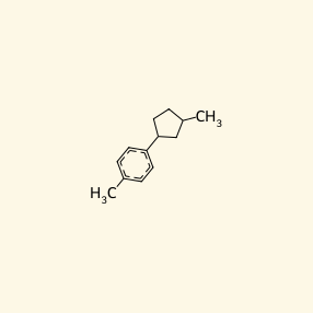 Cc1ccc(C2CCC(C)C2)cc1